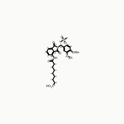 CCOc1cc([C@@H](CS(C)(=O)=O)N2C(=O)c3cccc(NC(=O)CCCCCCCC(=O)O)c3C2=O)ccc1OC